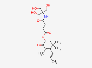 C/C=C/C1=C(C)C(=O)C(OC(=O)CCC(=O)NC(CO)(CO)CO)CC1(C)C